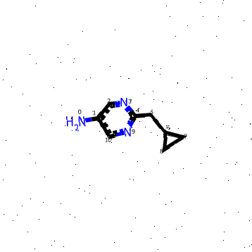 Nc1cnc(CC2CC2)nc1